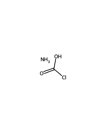 N.O=C(O)Cl